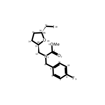 COC(=O)N(Cc1ccc(F)cc1)C[C@H]1CC[C@H](CI)O1